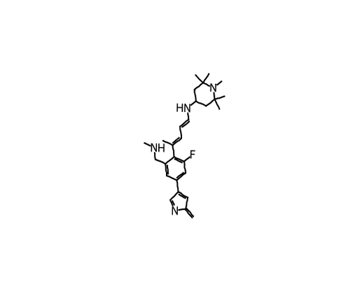 C=C1C=C(c2cc(F)c(/C(C)=C/C=C/NC3CC(C)(C)N(C)C(C)(C)C3)c(CNC)c2)C=N1